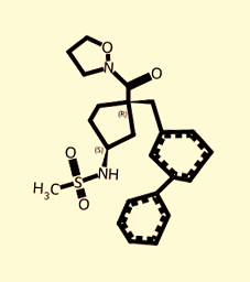 CS(=O)(=O)N[C@H]1CC[C@](Cc2cccc(-c3ccccc3)c2)(C(=O)N2CCCO2)C1